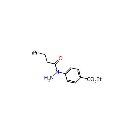 CCOC(=O)c1ccc(N(N)C(=O)CCC(C)C)cc1